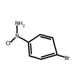 NN(Cl)c1ccc(Br)cc1